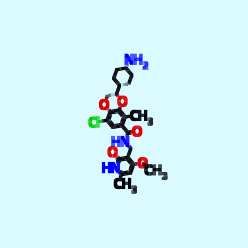 COc1cc(C)[nH]c(=O)c1CNC(=O)c1cc(Cl)c2c(c1C)O[C@@H]([C@H]1CC[C@@H](N)CC1)CO2